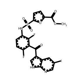 COC(=O)c1ccc(S(=O)(=O)Nc2ccc(F)c(C(=O)c3c[nH]c4ncc(I)cc34)c2F)o1